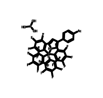 CC(=O)c1ccc(C2=C[SH]([SH](c3c(F)c(F)c(F)c(F)c3F)(c3c(F)c(F)c(F)c(F)c3F)(c3c(F)c(F)c(F)c(F)c3F)c3c(F)c(F)c(F)c(F)c3F)C=C2)cc1.OB(O)O